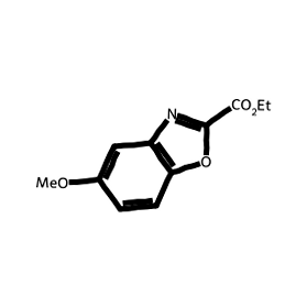 CCOC(=O)c1nc2cc(OC)ccc2o1